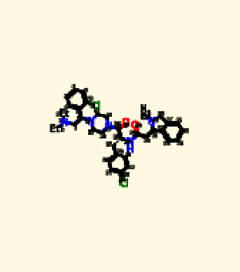 CCN(CC)CC(c1ccccc1Cl)N1CCN(C(=O)[C@@H](Cc2ccc(Cl)cc2)NC(=O)CC2c3ccccc3CN2C)CC1